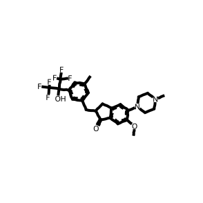 COc1cc2c(cc1N1CCN(C)CC1)CC(Cc1cc(C)cc(C(O)(C(F)(F)F)C(F)(F)F)c1)C2=O